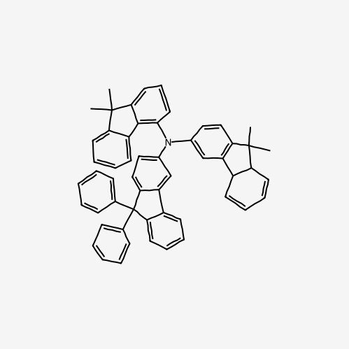 CC1(C)c2ccccc2-c2c(N(c3ccc4c(c3)-c3ccccc3C4(c3ccccc3)c3ccccc3)c3ccc4c(c3)C3C=CC=CC3C4(C)C)cccc21